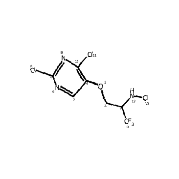 FC(F)(F)C(COc1cnc(Cl)nc1Cl)NCl